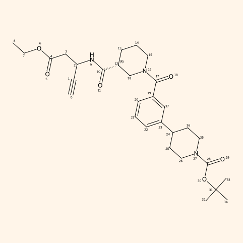 C#CC(CC(=O)OCC)NC(=O)[C@@H]1CCCN(C(=O)c2cccc(C3CCN(C(=O)OC(C)(C)C)CC3)c2)C1